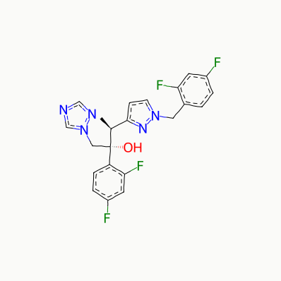 C[C@@H](c1ccn(Cc2ccc(F)cc2F)n1)[C@](O)(Cn1cncn1)c1ccc(F)cc1F